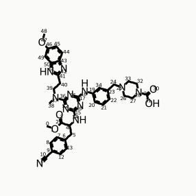 COC(=O)C(Cc1ccc(C#N)cc1)Nc1nc(Nc2cccc(CN3CCN(C(=O)O)CC3)c2)nc(N(C)CCc2nc3ccc(OC)cc3[nH]2)n1